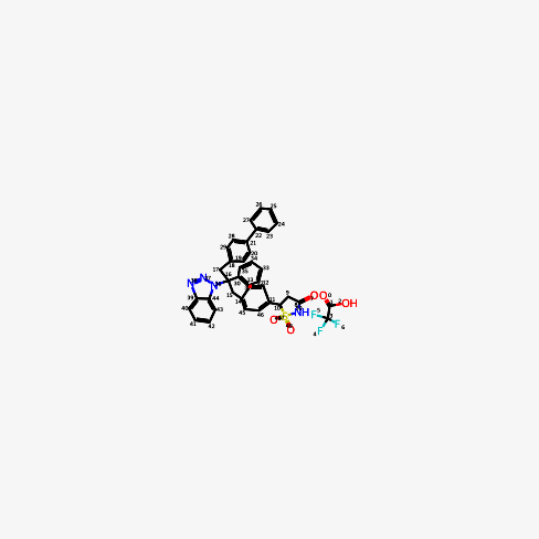 O=C(O)C(F)(F)F.O=C1CC(c2ccc(CC(Cc3ccc(-c4ccccc4)cc3)(c3ccccc3)n3nnc4ccccc43)cc2)S(=O)(=O)N1